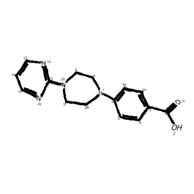 O=C(O)c1ccc(N2CCN(c3ncccn3)CC2)cc1